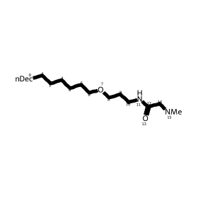 CCCCCCCCCCCCCCCCOCCCNC(=O)CNC